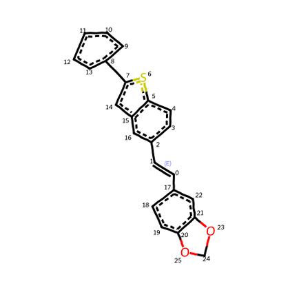 C(=C\c1ccc2sc(-c3ccccc3)cc2c1)/c1ccc2c(c1)OCO2